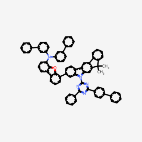 CC1(C)c2ccccc2-c2cc3c4ccc(-c5cccc6c5oc5c(N(c7cccc(-c8ccccc8)c7)c7cccc(-c8ccccc8)c7)cccc56)cc4n(-c4nc(-c5ccccc5)nc(-c5ccc(-c6ccccc6)cc5)n4)c3cc21